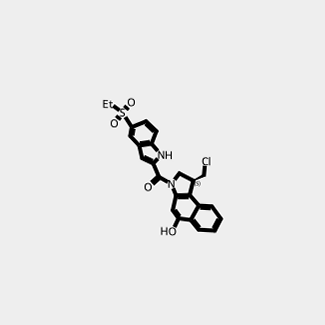 CCS(=O)(=O)c1ccc2[nH]c(C(=O)N3C[C@@H](CCl)c4c3cc(O)c3ccccc43)cc2c1